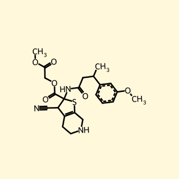 COC(=O)COC(=O)C1(NC(=O)CC(C)c2cccc(OC)c2)SC2=C(CCNC2)C1C#N